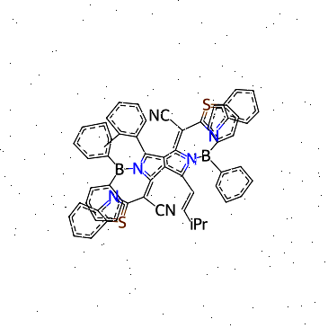 Cc1ccccc1-c1c2/c(=C(\C#N)c3nc4ccccc4s3)n(B(c3ccccc3)c3ccccc3)c(/C=C/C(C)C)c2/c(=C(\C#N)c2nc3ccccc3s2)n1B(c1ccccc1)c1ccccc1